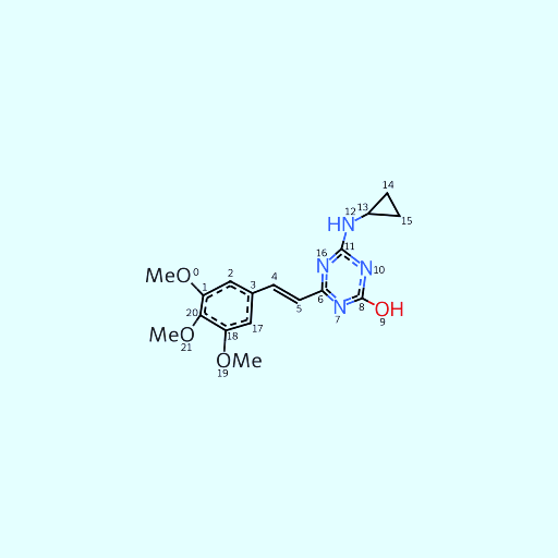 COc1cc(/C=C/c2nc(O)nc(NC3CC3)n2)cc(OC)c1OC